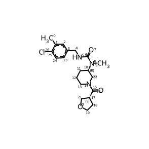 Cc1cc(CNC(=O)N(C)[C@@H]2CCCN(C(=O)[C@H]3CCOC3)C2)ccc1Cl